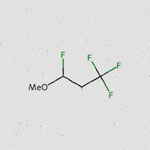 COC(F)[CH]C(F)(F)F